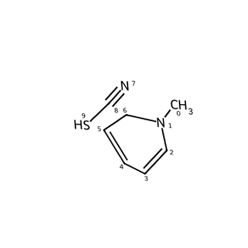 CN1C=CC=CC1.N#CS